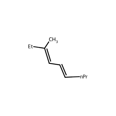 CCCC=CC=C(C)CC